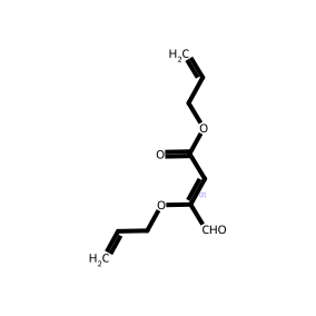 C=CCOC(=O)/C=C(/C=O)OCC=C